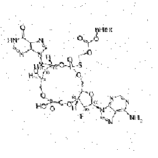 CCCCCCOC(=O)OCSP1(=O)OCC2O[C@@H](n3cnc4c(N)ncnc43)[C@H](F)[C@@H]2OCP(=O)(O)OC[C@H]2O[C@@H](n3cnc4c(=O)[nH]cnc43)[C@H](O1)[C@@H]2F